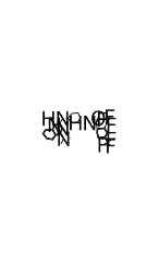 CN(C)c1nc(N[C@H]2CC[C@@H](CNC(=O)c3ccc(C(F)(F)F)cc3C(F)(F)F)CC2)nc2ccccc12